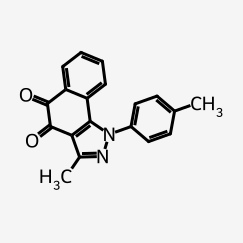 Cc1ccc(-n2nc(C)c3c2-c2ccccc2C(=O)C3=O)cc1